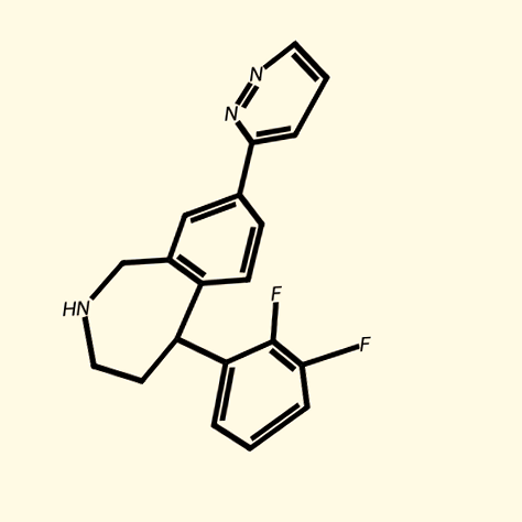 Fc1cccc(C2CCNCc3cc(-c4cccnn4)ccc32)c1F